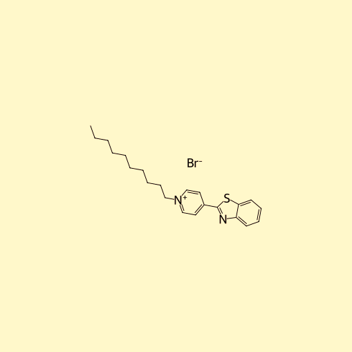 CCCCCCCCCC[n+]1ccc(-c2nc3ccccc3s2)cc1.[Br-]